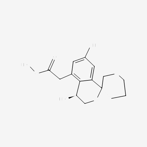 COC(=O)Cc1cc(C)cc2c1[C@H](C)CO[C@@]21CCCOC1